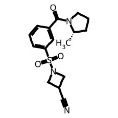 C[C@H]1CCCN1C(=O)c1cccc(S(=O)(=O)N2CC(C#N)C2)c1